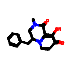 CN1C[C@H](Cc2ccccc2)n2ccc(=O)c(O)c2C1=O